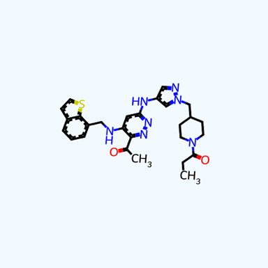 CCC(=O)N1CCC(Cn2cc(Nc3cc(NCc4cccc5ccsc45)c(C(C)=O)nn3)cn2)CC1